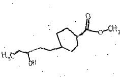 CCC(O)CCC1CCC(C(=O)OC)CC1